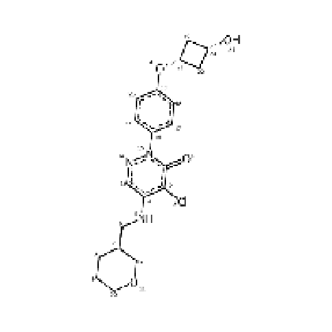 O=c1c(Cl)c(NC[C@@H]2CCCOC2)cnn1-c1ccc(O[C@H]2C[C@@H](O)C2)cc1